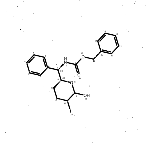 O=C(N[C@H](c1ccccc1)[C@@H]1CCC(I)C(O)O1)OCc1ccccc1